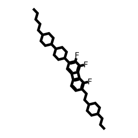 CCCCCC1CCC(C2CCC(c3cc4c(c(F)c3F)-c3c-4ccc(CCC4CCC(CCC)CC4)c3F)CC2)CC1